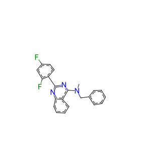 CN(Cc1ccccc1)c1nc(-c2ccc(F)cc2F)nc2ccccc12